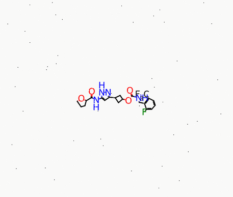 O=C(NCc1c(F)cccc1C(F)(F)F)OC1CC(c2cc(NC(=O)C3CCCO3)[nH]n2)C1